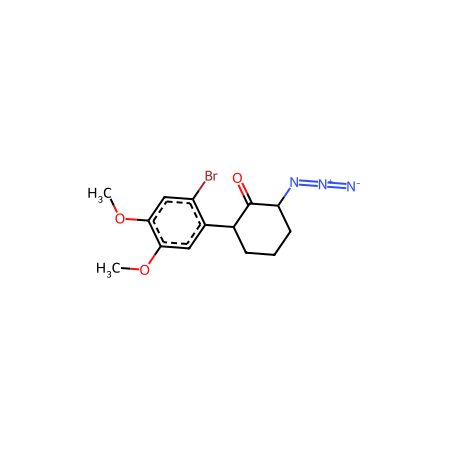 COc1cc(Br)c(C2CCCC(N=[N+]=[N-])C2=O)cc1OC